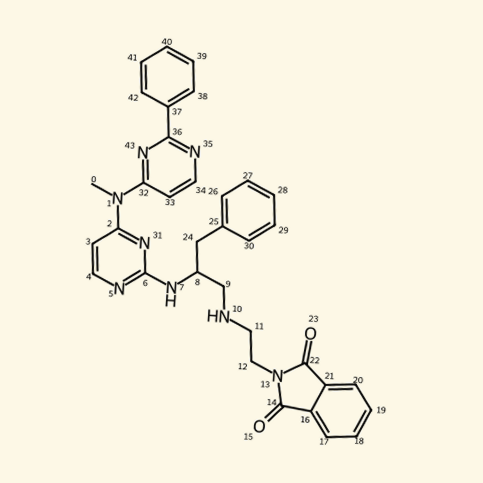 CN(c1ccnc(NC(CNCCN2C(=O)c3ccccc3C2=O)Cc2ccccc2)n1)c1ccnc(-c2ccccc2)n1